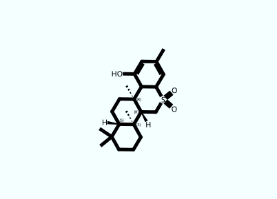 CC1=CC2C(C(O)=C1)[C@]1(C)CC[C@H]3C(C)(C)CCC[C@]3(C)[C@H]1CS2(=O)=O